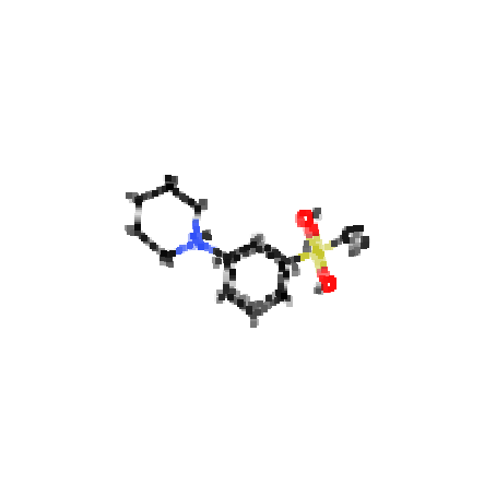 O=S(=O)(c1cccc(N2CCCCC2)c1)C(F)(F)F